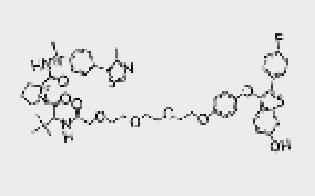 Cc1ncsc1-c1ccc([C@H](C)NC(=O)[C@@H]2CCCN2C(=O)C(NC(=O)COCCOCCOCCOc2ccc(Oc3c(-c4ccc(F)cc4)sc4cc(O)ccc34)cc2)C(C)(C)C)cc1